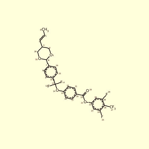 C/C=C/C1COC(c2ccc(C(F)(F)Oc3ccc(C(=O)Oc4cc(F)c(C(F)(F)F)c(F)c4)cc3)cc2)OC1